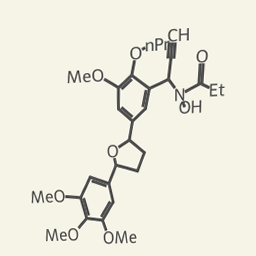 C#CC(c1cc(C2CCC(c3cc(OC)c(OC)c(OC)c3)O2)cc(OC)c1OCCC)N(O)C(=O)CC